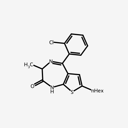 CCCCCCc1cc2c(s1)NC(=O)C(C)N=C2c1ccccc1Cl